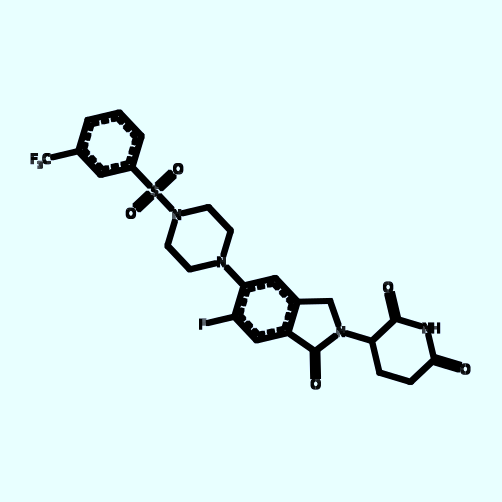 O=C1CCC(N2Cc3cc(N4CCN(S(=O)(=O)c5cccc(C(F)(F)F)c5)CC4)c(F)cc3C2=O)C(=O)N1